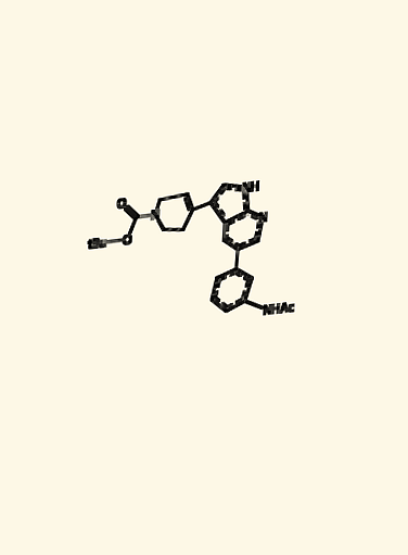 CC(=O)Nc1cccc(-c2cnc3[nH]cc(C4=CCN(C(=O)OC(C)(C)C)CC4)c3c2)c1